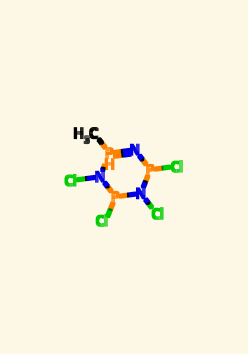 C[PH]1=NP(Cl)N(Cl)P(Cl)N1Cl